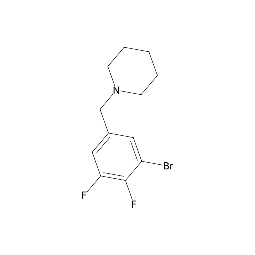 Fc1cc(CN2CCCCC2)cc(Br)c1F